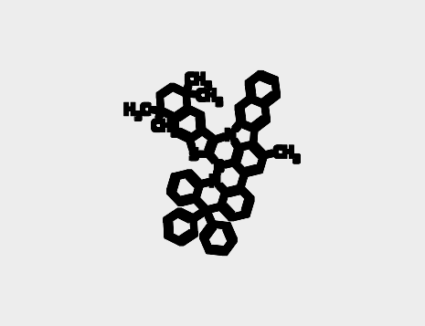 Cc1cc2c3c4c1c1cc5ccccc5cc1n4-c1c(sc4cc5c(cc14)C(C)(C)CCC5(C)C)B3N1c3ccccc3C(c3ccccc3)(c3ccccc3)c3cccc-2c31